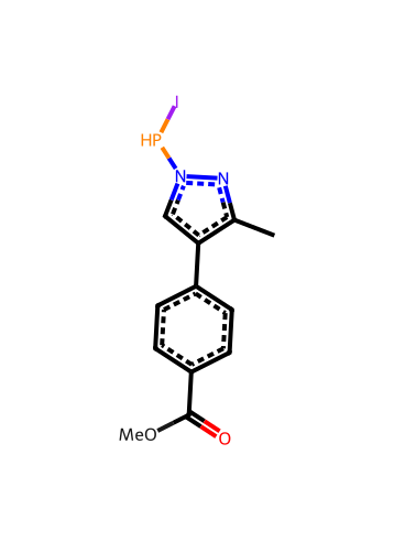 COC(=O)c1ccc(-c2cn(PI)nc2C)cc1